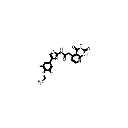 O=C(Cc1ccnc2[nH]c(=O)[nH]c(=O)c12)Nc1nc(-c2cc(F)c(OCC(F)(F)F)c(F)c2)cs1